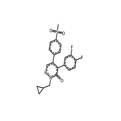 CS(=O)(=O)c1ccc(-c2cnn(CC3CC3)c(=O)c2-c2ccc(F)c(F)c2)cc1